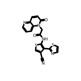 N#Cc1csc(NC(=O)Cn2c(=O)ccc3ncccc32)c1-c1nccs1